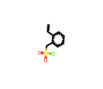 C=Cc1ccccc1CS(=O)(=O)Cl